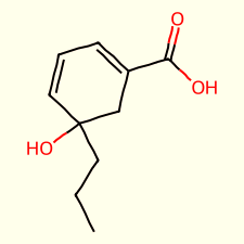 CCCC1(O)C=CC=C(C(=O)O)C1